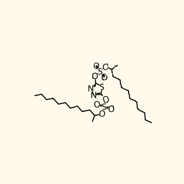 CCCCCCCCCCC(C)OS(=O)(=O)Oc1nnc(OS(=O)(=O)OC(C)CCCCCCCCCC)s1